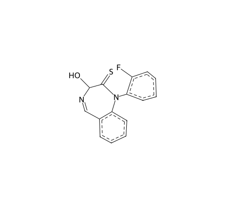 OC1N=Cc2ccccc2N(c2ccccc2F)C1=S